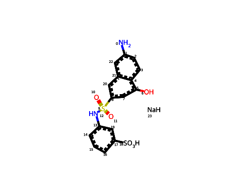 Nc1ccc2c(O)cc(S(=O)(=O)Nc3cccc(S(=O)(=O)O)c3)cc2c1.[NaH]